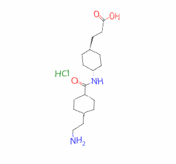 Cl.NCCC1CCC(C(=O)N[C@H]2CC[C@H](CCC(=O)O)CC2)CC1